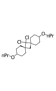 CCCOC1CC[C@]2(CC1)C[C@@]1(CCC(OCCC)CC1)C2(Cl)Cl